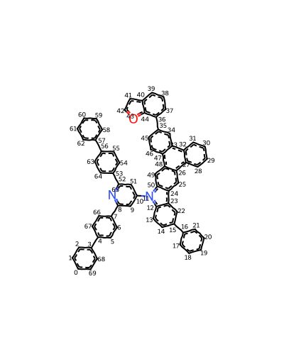 c1ccc(-c2ccc(-c3cc(-n4c5ccc(-c6ccccc6)cc5c5cc6c7ccccc7c7cc(-c8cccc9ccoc89)ccc7c6cc54)cc(-c4ccc(-c5ccccc5)cc4)n3)cc2)cc1